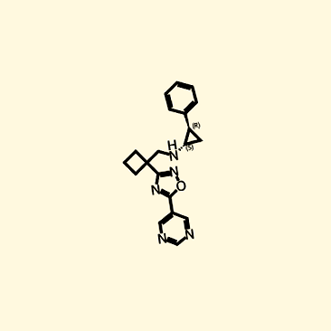 c1ccc([C@H]2C[C@@H]2NCC2(c3noc(-c4cncnc4)n3)CCC2)cc1